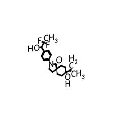 C=C(C)[C@]1(O)CC[C@]2(CCN(c3ccc(C(O)C(C)(F)F)cc3)C2=O)CC1